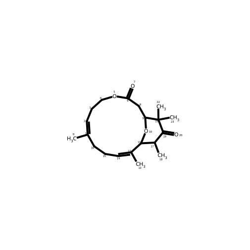 CC1=CCCOC(=O)CC2OC(C(C)=CCC1)C(C)C(=O)C2(C)C